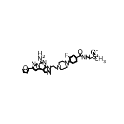 C[S@@+]([O-])CCNC(=O)c1ccc(N2CCN(CCn3ncc4c3nc(N)n3nc(-c5ccco5)cc43)CC2)c(F)c1